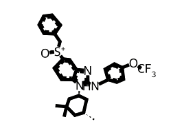 C[C@H]1C[C@@H](n2c(Nc3ccc(OC(F)(F)F)cc3)nc3cc([S+]([O-])Cc4ccccc4)ccc32)CC(C)(C)C1